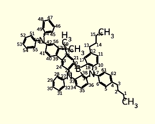 CCCCc1ccc(N2c3ccc(CCCC)cc3B3c4cc5c(cc4N(c4ccccc4)c4cccc2c43)-c2ccc(N(c3ccccc3)c3ccccc3)cc2C5(C)C)cc1